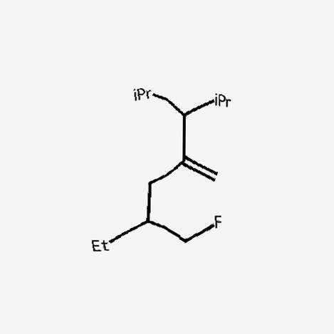 C=C(CC(CC)CF)C(C(C)C)C(C)C